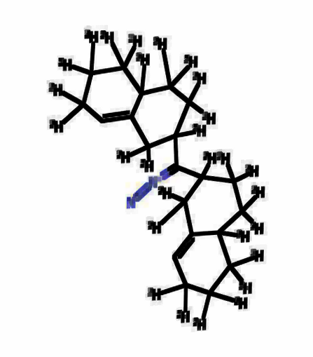 [2H]C1([2H])C=C2C([2H])([2H])C([2H])(C(=[N+]=[N-])C3([2H])C([2H])([2H])C4=CC([2H])([2H])C([2H])([2H])C([2H])([2H])C4([2H])C([2H])([2H])C3([2H])[2H])C([2H])([2H])C([2H])([2H])C2([2H])C([2H])([2H])C1([2H])[2H]